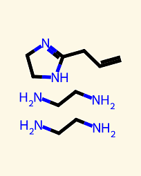 C=CCC1=NCCN1.NCCN.NCCN